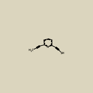 CC#Cc1cccc(C#CS)n1